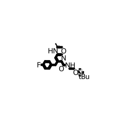 C[C@H]1COc2nc(C(=O)NCCO[Si](C)(C)C(C)(C)C)c(Cc3ccc(F)cc3)cc2N1